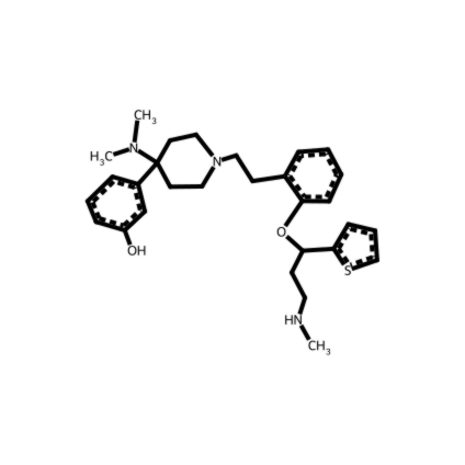 CNCCC(Oc1ccccc1CCN1CCC(c2cccc(O)c2)(N(C)C)CC1)c1cccs1